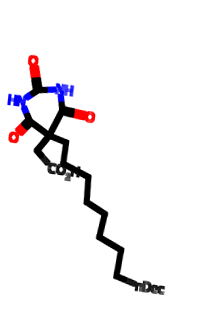 CCCCCCCCCCCCCCCCCCC1(CC(=O)O)C(=O)NC(=O)NC1=O